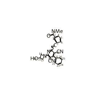 CNC(=O)c1cccc(CSc2nc(N3CC(O)C3)c(C#N)c(-c3ccccc3)c2C#N)c1